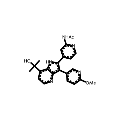 COc1ccc(-c2c(-c3ccnc(NC(C)=O)c3)[nH]c3c(C(C)(C)O)ccnc23)cn1